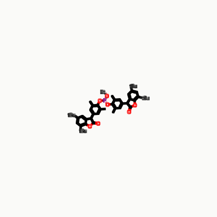 CCOP(Oc1c(C)cc(C2C(=O)Oc3c2cc(C(C)(C)C)cc3C(C)(C)C)cc1C)Oc1c(C)cc(C2C(=O)Oc3c2cc(C(C)(C)C)cc3C(C)(C)C)cc1C